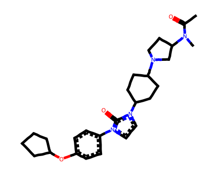 CC(=O)N(C)C1CCN(C2CCC(n3ccn(-c4ccc(OC5CCCC5)cc4)c3=O)CC2)C1